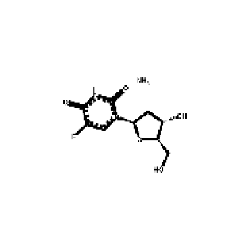 N.O=c1[nH]c(=O)n([C@H]2C[C@H](O)[C@@H](CO)O2)cc1F